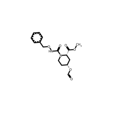 COC(=O)[C@@H]1C[C@H](OC=O)CCN1C(=O)NOCc1ccccc1